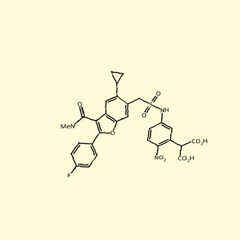 CNC(=O)c1c(-c2ccc(F)cc2)oc2cc(CS(=O)(=O)Nc3ccc([N+](=O)[O-])c(C(C(=O)O)C(=O)O)c3)c(C3CC3)cc12